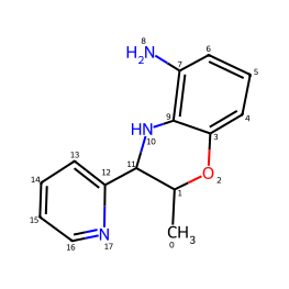 CC1Oc2cccc(N)c2NC1c1ccccn1